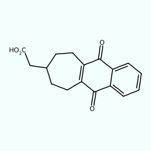 O=C(O)CC1CCC2=C(CC1)C(=O)c1ccccc1C2=O